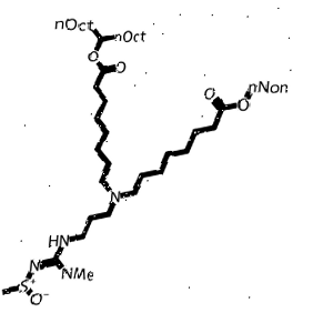 CCCCCCCCCOC(=O)CCCCCCCN(CCCCCCCC(=O)OC(CCCCCCCC)CCCCCCCC)CCCN/C(=N/[S+](C)[O-])NC